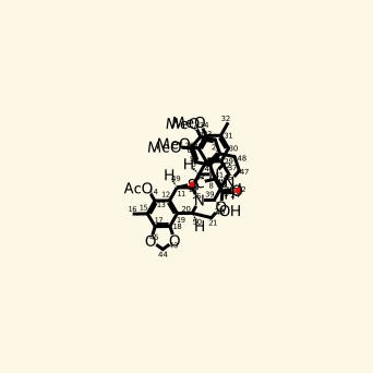 COc1cc2c(cc1OC)[C@@]1(CS[C@@H]3c4c(OC(C)=O)c(C)c5c(c4[C@H](COC1=O)N1C3[C@H]3c4c(cc(C)c(OC)c4OC)C[C@@H]([C@@H]1O)N3C)OCO5)NCC2